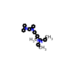 Cc1cccc(-c2cc(-c3ccc(-c4ccc(-n5c6ccccc6c6cc(-n7c8ccccc8c8ccccc87)ccc65)cc4)cc3C)nc(-c3cccc(C)c3)n2)c1